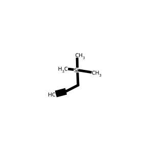 C#CC[Si](C)(C)C